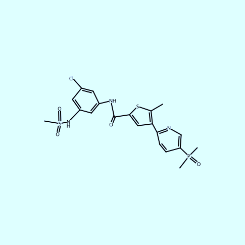 Cc1sc(C(=O)Nc2cc(Cl)cc(NS(C)(=O)=O)c2)cc1-c1ccc(P(C)(C)=O)cn1